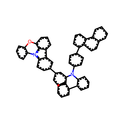 c1ccc(-c2ccccc2N(c2ccc(-c3cccc4c3ccc3ccccc34)cc2)c2cccc(-c3ccc4c(c3)c3cccc5c3n4-c3ccccc3O5)c2)cc1